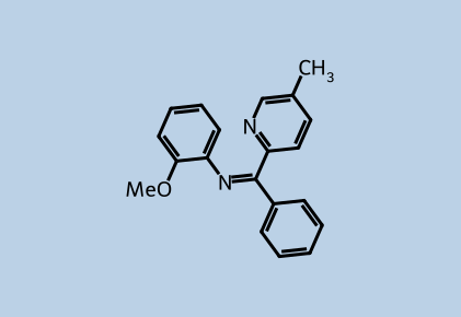 COc1ccccc1N=C(c1ccccc1)c1ccc(C)cn1